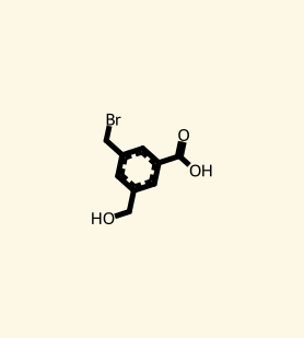 O=C(O)c1cc(CO)cc(CBr)c1